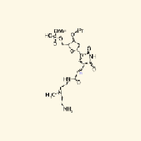 COP(=O)(O)OCC1OC(n2cc(/C=C/C(=O)NCCN(C)CCN)c(=O)[nH]c2=O)CC1OC(C)C